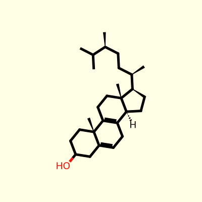 CC(C)[C@@H](C)CC[C@@H](C)[C@H]1CC[C@H]2C3=C(CC[C@]12C)[C@@]1(C)CCC(O)CC1=CC3